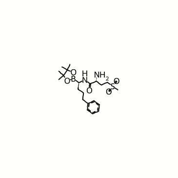 CC1(C)OB([C@H](CCCc2ccccc2)NC(=O)[C@H](N)CCS(C)(=O)=O)OC1(C)C